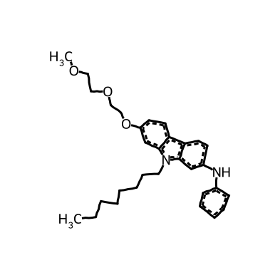 CCCCCCCCn1c2cc(Nc3ccccc3)ccc2c2ccc(OCCOCCOC)cc21